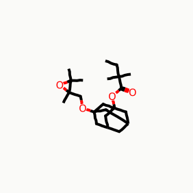 CCC(C)(C)C(=O)OC12CC3CC(CC(OCC4(C)OC4(C)C)(C3)C1)C2